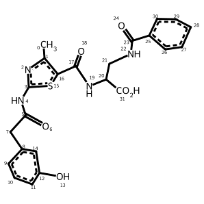 Cc1nc(NC(=O)Cc2cccc(O)c2)sc1C(=O)NC(CNC(=O)c1ccccc1)C(=O)O